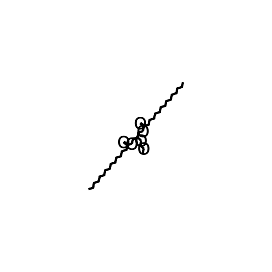 CCCCCCCCCCCCCCC(=O)OCC(COC(=O)CCCCCCCCCCCCCC)OCOC